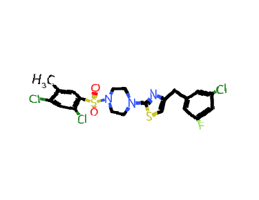 Cc1cc(S(=O)(=O)N2CCN(c3nc(Cc4cc(F)cc(Cl)c4)cs3)CC2)c(Cl)cc1Cl